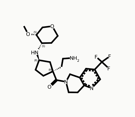 CO[C@@H]1COCC[C@@H]1N[C@@H]1CC[C@](CCN)(C(=O)N2CCc3ncc(C(F)(F)F)cc3C2)C1